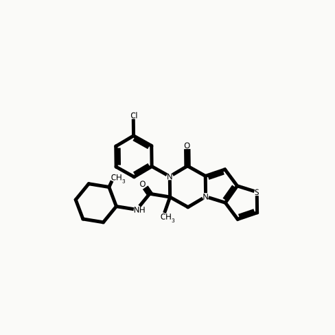 CC1CCCCC1NC(=O)C1(C)Cn2c(cc3sccc32)C(=O)N1c1cccc(Cl)c1